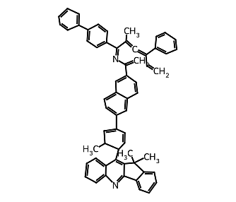 C=CC(=C=C(C)/C(=N\C(=C)c1ccc2cc(C3=CC(C)C(c4c5c(nc6ccccc46)-c4ccccc4C5(C)C)C=C3)ccc2c1)c1ccc(-c2ccccc2)cc1)c1ccccc1